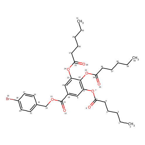 CCCCCC(=O)Oc1cc(C(=O)OCc2ccc(Br)cc2)cc(OC(=O)CCCCC)c1OC(=O)CCCCC